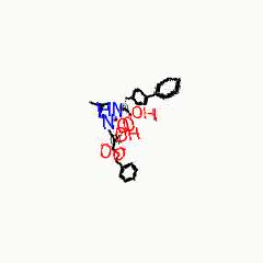 CC(C)CN(C[C@@H](O)C(=O)OCc1ccccc1)C(=O)N[C@H](Cc1ccc(-c2ccccc2)cc1)C(=O)O